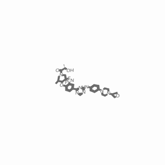 CC1CN(C(=O)[C@H](C)O)CC(F)(F)C1Oc1ccc(-c2ncnc(Nc3ccc(N4CCN(C5COC5)CC4)cc3)n2)cc1C#N